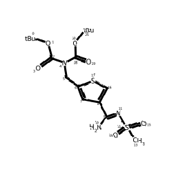 CC(C)(C)OC(=O)N(Cc1cc(/C(N)=N/S(C)(=O)=O)cs1)C(=O)OC(C)(C)C